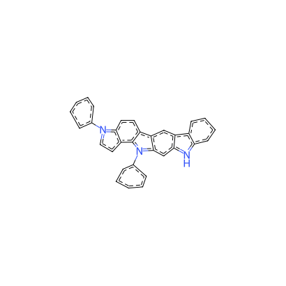 c1ccc(-n2ccc3c2ccc2c4cc5c(cc4n(-c4ccccc4)c23)[nH]c2ccccc25)cc1